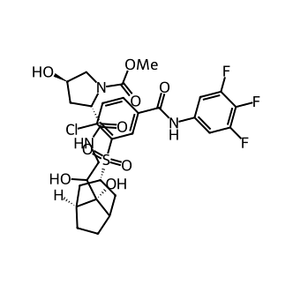 COC(=O)N1C[C@H](O)C[C@H]1C(=O)NCC(O)[C@@]1(O)C2CC[C@H]1C[C@H](S(=O)(=O)c1cc(C(=O)Nc3cc(F)c(F)c(F)c3)ccc1Cl)C2